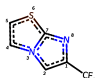 FC(F)(F)c1cn2ccsc2n1